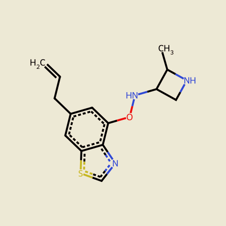 C=CCc1cc(ONC2CNC2C)c2ncsc2c1